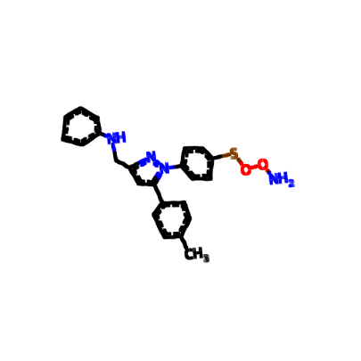 Cc1ccc(-c2cc(CNc3ccccc3)nn2-c2ccc(SOON)cc2)cc1